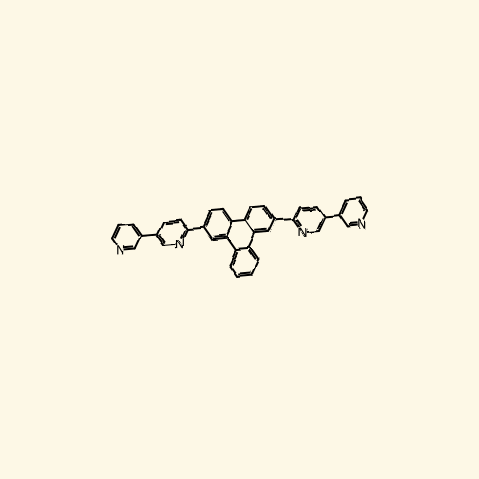 c1cncc(-c2ccc(-c3ccc4c5ccc(-c6ccc(-c7cccnc7)cn6)cc5c5ccccc5c4c3)nc2)c1